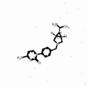 CC(N)[C@H]1[C@@H]2CN(Cc3ccc(-n4ccc(N)nc4=O)cc3)C[C@@H]21